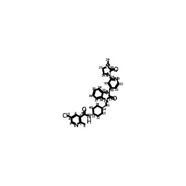 Cc1ncc(Cl)cc1C(=O)N[C@H]1CC[C@H](Cn2c(=O)n(-c3ccnc(N4CCN(C)C4=O)c3)c3ccccc32)CC1